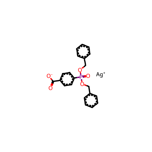 O=C([O-])c1ccc(P(=O)(OCc2ccccc2)OCc2ccccc2)cc1.[Ag+]